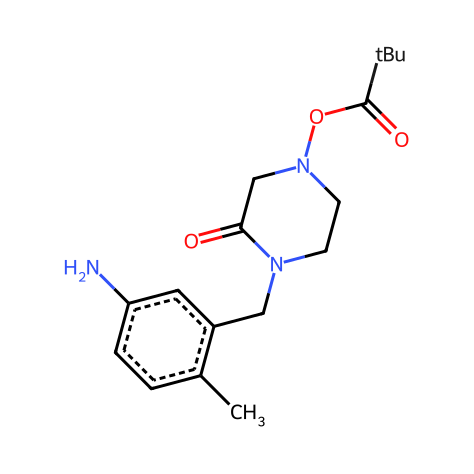 Cc1ccc(N)cc1CN1CCN(OC(=O)C(C)(C)C)CC1=O